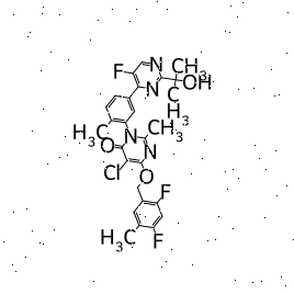 Cc1cc(COc2nc(C)n(-c3cc(-c4nc(C(C)(C)O)ncc4F)ccc3C)c(=O)c2Cl)c(F)cc1F